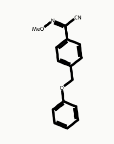 CO/N=C(/C#N)c1ccc(COc2ccccc2)cc1